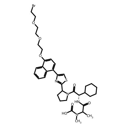 CC(C(=O)N[C@H](C(=O)N1CCCC1c1nc(-c2ccc(OCCOCCOCCBr)c3ccccc23)cs1)C1CCCCC1)N(C)C(=O)O